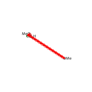 COCCOCCOCCOCCOCCOCCOCCOCCOCCOCCOCCOCCOCCOCCOCCOCCOCCOCCOCCOCCOCCOCCOCCOC(=O)C(C)(Cl)CC(C)(CC(C)(C)C(=O)O)C(=O)OC